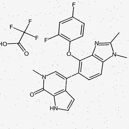 Cc1nc2c(Oc3ccc(F)cc3F)c(-c3cn(C)c(=O)c4[nH]ccc34)ccc2n1C.O=C(O)C(F)(F)F